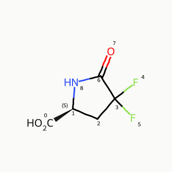 O=C(O)[C@@H]1CC(F)(F)C(=O)N1